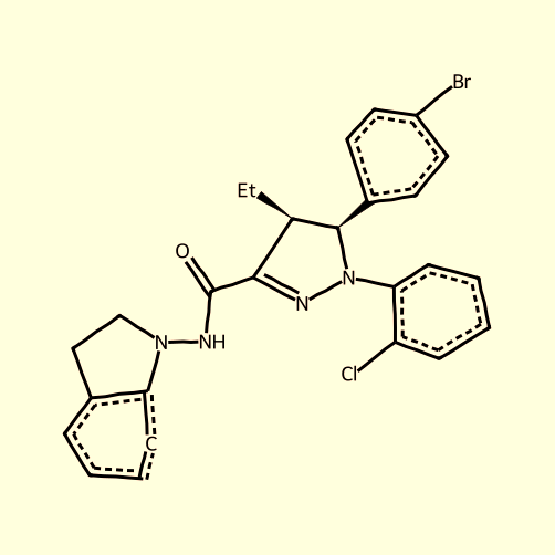 CC[C@@H]1C(C(=O)NN2CCc3ccccc32)=NN(c2ccccc2Cl)[C@@H]1c1ccc(Br)cc1